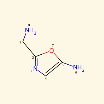 NCc1ncc(N)o1